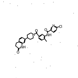 Cc1ccc(C(=O)N2CCC(c3ccc4c(c3)NC(=O)CC4)CC2)cc1NC(=O)c1ccc(Cl)nc1